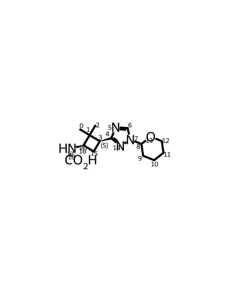 CC1(C)[C@@H](c2ncn(C3CCCCO3)n2)C[C@H]1NC(=O)O